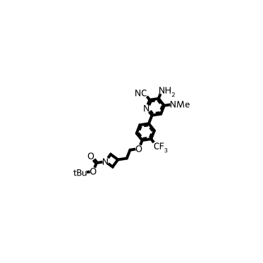 CNc1cc(-c2ccc(OCCC3CN(C(=O)OC(C)(C)C)C3)c(C(F)(F)F)c2)nc(C#N)c1N